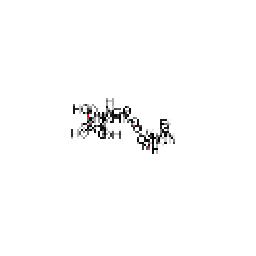 N#C[C@@H]1CC(F)(F)CN1C(=O)CNC(=O)c1ccnc2ccc(-c3ccc(OCCNC(=O)C4CCC(NC(=O)CN5CCN(CC(=O)O)CCN(CC(=O)O)CCN(CC(=O)O)CC5)CC4)cc3)cc12